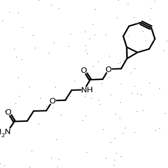 NC(=O)CCCOCCNC(=O)COCC1C2CCC#CCCC21